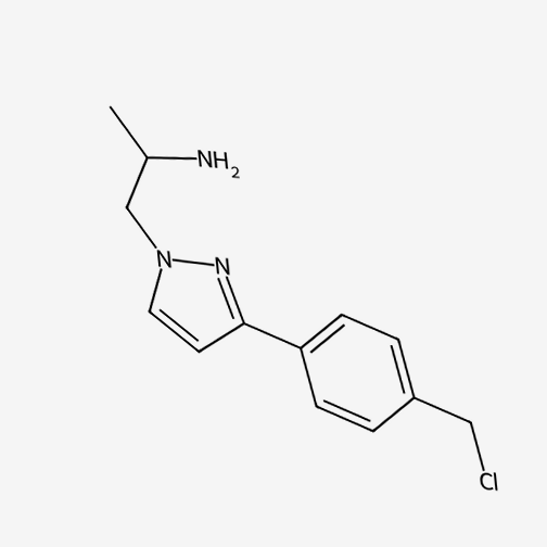 CC(N)Cn1ccc(-c2ccc(CCl)cc2)n1